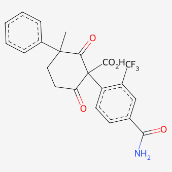 CC1(c2ccccc2)CCC(=O)C(C(=O)O)(c2ccc(C(N)=O)cc2C(F)(F)F)C1=O